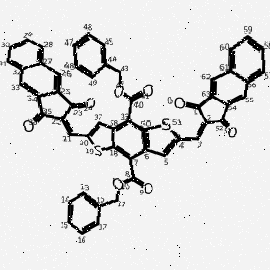 O=C1C(=Cc2cc3c(C(=O)OCc4ccccc4)c4sc(C=C5C(=O)c6cc7ccccc7cc6C5=O)cc4c(C(=O)OCc4ccccc4)c3s2)C(=O)c2cc3ccccc3cc21